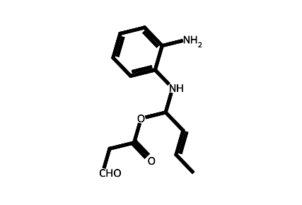 CC=CC(Nc1ccccc1N)OC(=O)CC=O